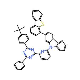 CC(C)(C)c1ccc(-c2nc(-c3ccccc3)nc(-c3cccc(-n4c5ccccc5c5ccc(-c6cccc7c6sc6ccccc67)cc54)n3)n2)cc1